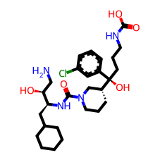 NC[C@H](O)[C@H](CC1CCCCC1)NC(=O)N1CCC[C@@H]([C@@](O)(CCCNC(=O)O)c2cccc(Cl)c2)C1